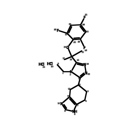 CCn1c(C2CCc3[nH]cnc3C2)nnc1C(C)(C)Oc1c(F)cc(F)cc1F.Cl.Cl